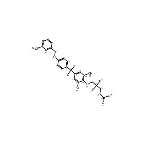 CSc1nccc(COc2ccc(C(C)(C)c3cc(Cl)c(OCC(F)(F)CCC(=O)Cl)c(C#N)c3)cc2)n1